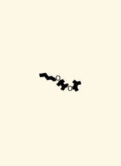 CCCCCOC(C)(C)C(C)COC(C)=C(C)C